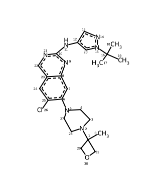 CC1(N2CCN(c3cc4nc(Nc5cnn(C(C)(C)C)c5)ncc4cc3Cl)CC2)COC1